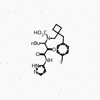 CCCCC(C(=O)C(=O)Nc1ccn[nH]1)N(CC1(Cc2ccc(F)cc2)CCC1)C(=O)O